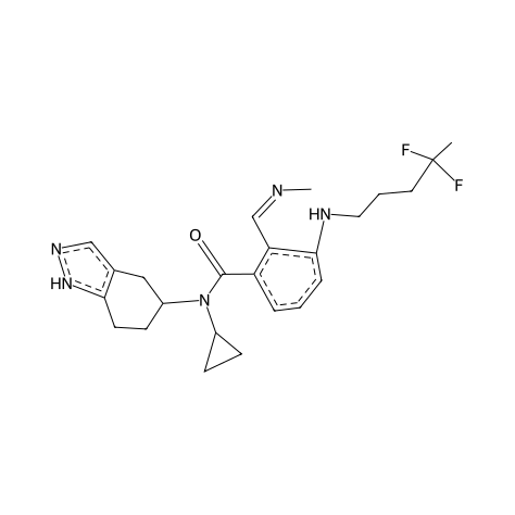 C/N=C\c1c(NCCCC(C)(F)F)cccc1C(=O)N(C1CC1)C1CCc2[nH]ncc2C1